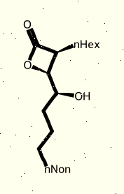 CCCCCCCCCCCC[C@H](O)[C@H]1OC(=O)[C@H]1CCCCCC